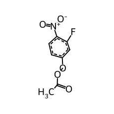 CC(=O)OOc1ccc([N+](=O)[O-])c(F)c1